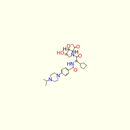 CC(C)N1CCN(c2ccc(C(=O)N[C@H](C(=O)N3C[C@H](O)[C@H]4OCC(=O)[C@H]43)C3CCCC3)cc2)CC1